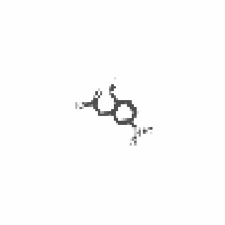 O=Ic1ccc([N+](=O)[O-])cc1CC(=O)O